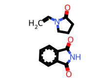 C=CN1CCCC1=O.O=C1NC(=O)c2ccccc21